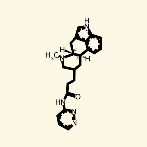 CN1CC(CCC(=O)Nc2cccnn2)C[C@@H]2c3cccc4[nH]cc(c34)C[C@H]21